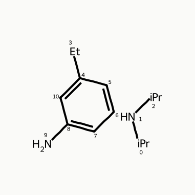 CC(C)NC(C)C.CCc1cccc(N)c1